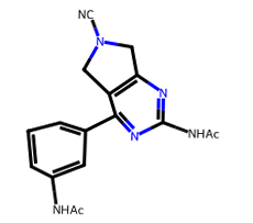 CC(=O)Nc1cccc(-c2nc(NC(C)=O)nc3c2CN(C#N)C3)c1